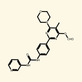 Cc1c(OC=O)nc(-c2ccc(NC(=O)Nc3cccnc3)cc2)nc1N1CCOCC1